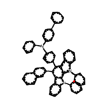 c1ccc(-c2ccc(N(c3ccccc3)c3ccc(-c4c(-c5ccc6ccccc6c5)c5c6ccccc6n(-c6ccccc6)c5c5c4c4ccccc4n5-c4ccccc4)cc3)cc2)cc1